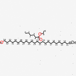 CCCCCC(=O)OCC.CCCCCCCCCCCCCCCCCCCCCCCCCCCCCCCCCCO